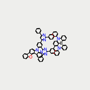 c1ccc(-c2cc(-c3ccc(-n4c5ccccc5c5c6oc7ccccc7c6ccc54)c(-c4nc(-c5ccccc5)nc(-c5cccc(-c6ccc7c8c6N(c6ccccc6)c6ccccc6B8c6ccccc6N7c6ccccc6)c5)n4)c3)nc(-c3ccccc3)n2)cc1